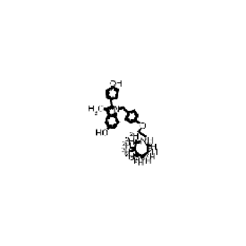 [2H]C1([2H])N(CCOc2ccc(Cn3c(-c4ccc(O)cc4)c(C)c4cc(O)ccc43)cc2)C([2H])([2H])C([2H])([2H])C([2H])([2H])C([2H])([2H])C1([2H])[2H]